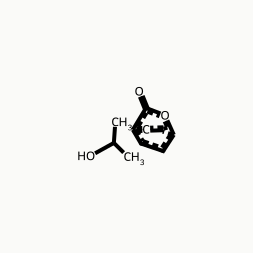 CC(C)O.O=c1oc2ccc1cc2